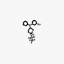 O=S(=O)(O)C(F)(F)F.[Au].c1ccc(P(c2ccccc2)c2ccccc2)cc1